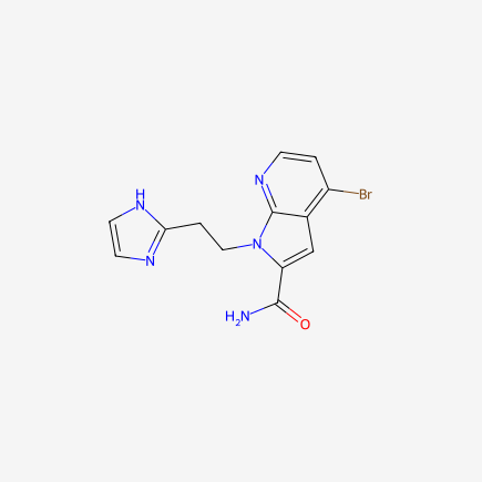 NC(=O)c1cc2c(Br)ccnc2n1CCc1ncc[nH]1